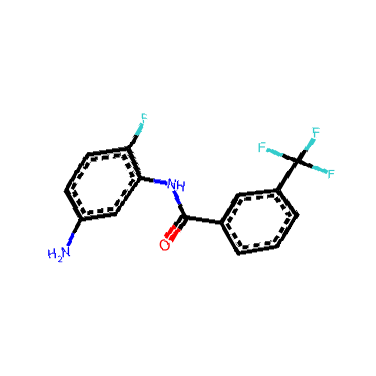 Nc1ccc(F)c(NC(=O)c2cccc(C(F)(F)F)c2)c1